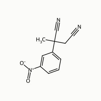 CC(C#N)(CC#N)c1cccc([N+](=O)[O-])c1